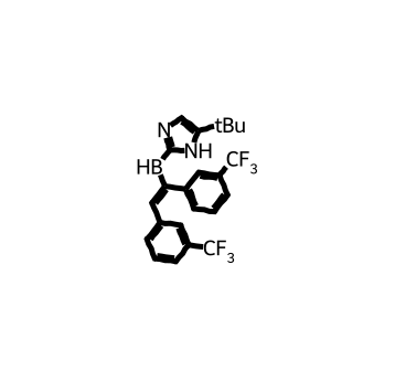 CC(C)(C)c1cnc(BC(=Cc2cccc(C(F)(F)F)c2)c2cccc(C(F)(F)F)c2)[nH]1